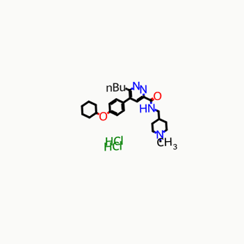 CCCCc1nnc(C(=O)NCC2CCN(C)CC2)cc1-c1ccc(OC2CCCCC2)cc1.Cl.Cl